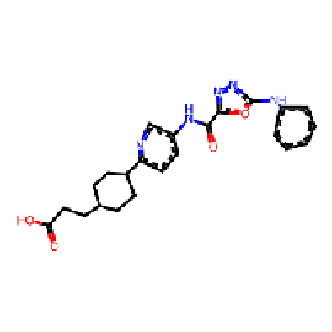 O=C(O)CCC1CCC(c2ccc(NC(=O)c3nnc(Nc4ccccc4)o3)cn2)CC1